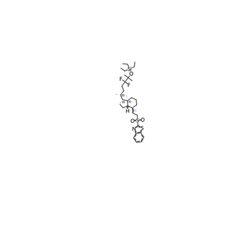 CC[Si](CC)(CC)OC(C)(C)C(F)(F)CC[C@@H](C)[C@H]1CC[C@H]2/C(=C/CS(=O)(=O)c3nc4ccccc4s3)CCC[C@]12C